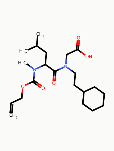 C=CCOC(=O)N(C)C(CC(C)C)C(=O)N(CCC1CCCCC1)CC(=O)O